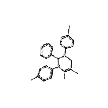 CC1=C(C)N(c2ccc(C)cc2)C(c2ccccc2)N(c2ccc(C)cc2)C1